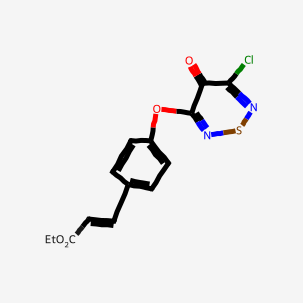 CCOC(=O)/C=C/c1ccc(Oc2nsnc(Cl)c2=O)cc1